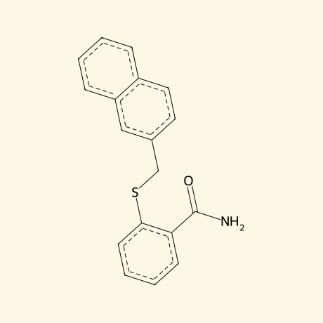 NC(=O)c1ccccc1SCc1ccc2ccccc2c1